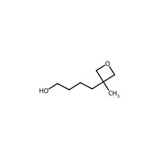 CC1(CCCCO)COC1